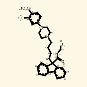 CCOC(=O)c1ccc(N2CCN(CCCCC3(C(=O)NCC(F)(F)F)c4ccccc4-c4ccccc43)CC2)cc1C(F)(F)F